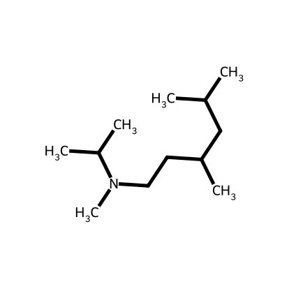 CC(C)CC(C)CCN(C)C(C)C